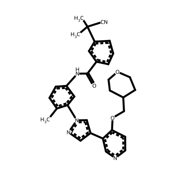 Cc1ccc(NC(=O)c2cccc(C(C)(C)C#N)c2)cc1-n1cc(-c2cnccc2OCC2CCOCC2)cn1